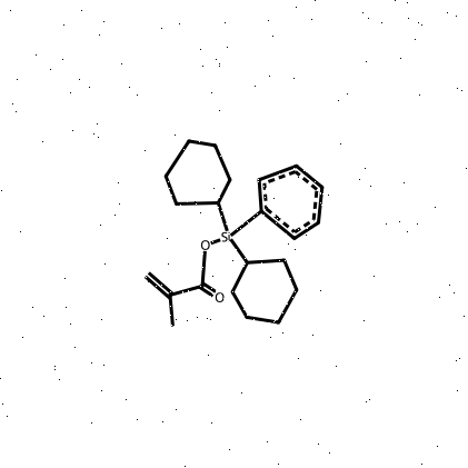 C=C(C)C(=O)O[Si](c1ccccc1)(C1CCCCC1)C1CCCCC1